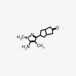 Cc1c(C2CC3CC(=O)CC3C2)nn(C)c1N